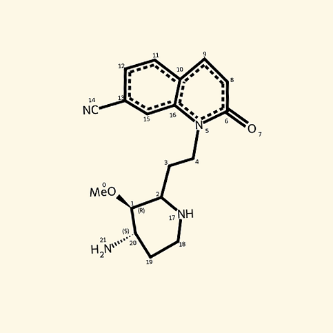 CO[C@H]1C(CCn2c(=O)ccc3ccc(C#N)cc32)NCC[C@@H]1N